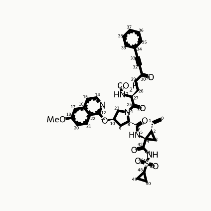 C=C[C@@H]1C[C@]1(NC(=O)[C@@H]1C[C@@H](Oc2nccc3cc(OC)ccc23)CN1C(=O)[C@H](CCC(=O)C#Cc1ccccc1)NC(=O)O)C(=O)NS(=O)(=O)C1CC1